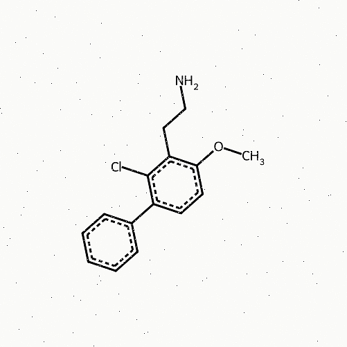 COc1ccc(-c2ccccc2)c(Cl)c1CCN